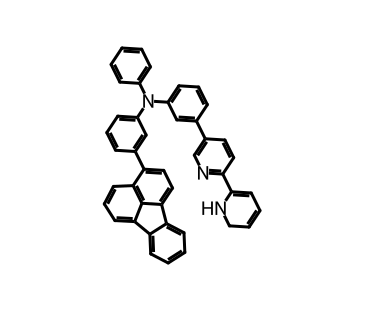 C1=CCNC(c2ccc(-c3cccc(N(c4ccccc4)c4cccc(-c5ccc6c7c(cccc57)-c5ccccc5-6)c4)c3)cn2)=C1